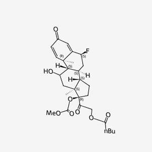 CCCCC(=O)OCC(=O)[C@@]1(OC(=O)OC)CC[C@H]2[C@@H]3C[C@H](F)C4=CC(=O)C=C[C@]4(C)[C@H]3C(O)C[C@@]21C